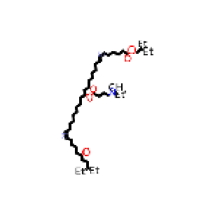 CCC(CC)CCC(=O)CCCC/C=C\CCCCCCCCC(CCCCCCCC/C=C\CCCCC(=O)OCC(CC)CC)OC(=O)CCCN(C)CC